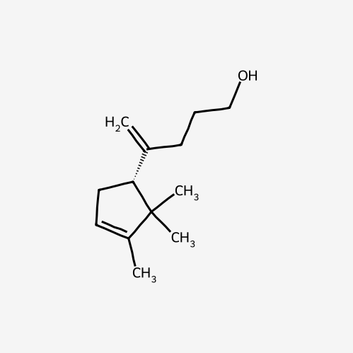 C=C(CCCO)[C@H]1CC=C(C)C1(C)C